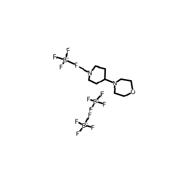 CN1CCC(N2CCOCC2)CC1.F[B-](F)(F)F.F[B-](F)(F)F.F[B-](F)(F)F